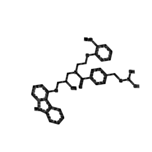 COc1ccccc1OCCN(CC(O)COc1cccc2[nH]c3ccccc3c12)C(=O)c1ccc(CON(O)O)cc1